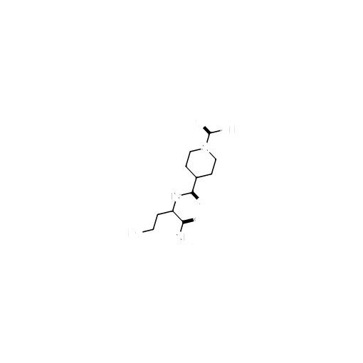 CCCC(NC(=O)C1CCN(C(C)=O)CC1)C(N)=O